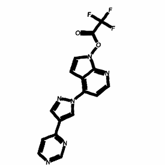 O=C(On1ccc2c(-n3cc(-c4ccncn4)cn3)ccnc21)C(F)(F)F